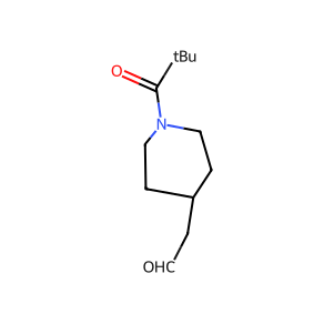 CC(C)(C)C(=O)N1CCC(CC=O)CC1